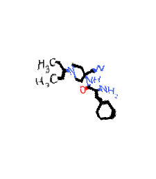 CCC(CC)N1CCC(C#N)(NC(=O)C(N)CC2CCCCC2)CC1